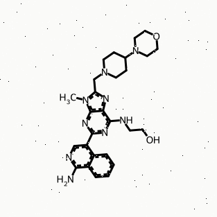 Cn1c(CN2CCC(N3CCOCC3)CC2)nc2c(NCCO)nc(-c3cnc(N)c4ccccc34)nc21